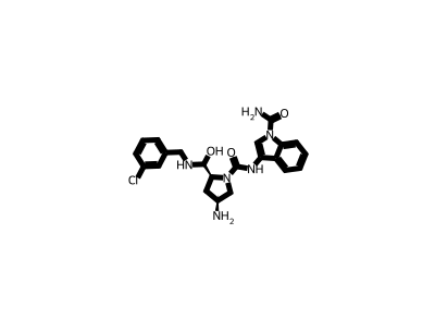 NC(=O)n1cc(NC(=O)N2C[C@@H](N)C[C@H]2C(O)NCc2cccc(Cl)c2)c2ccccc21